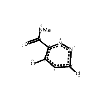 CNC(=O)c1nnc(Cl)cc1Cl